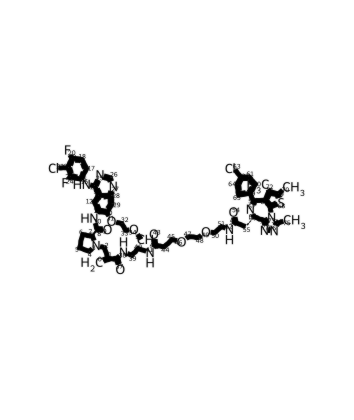 C=C(CN1CCC[C@H]1C(=O)Nc1cc2c(Nc3ccc(F)c(Cl)c3F)ncnc2cc1OCCOC)C(=O)NCCNC(=O)CCOCCOCCNC(=O)C[C@@H]1N=C(c2ccc(Cl)cc2)c2c(sc(C)c2C)-n2c(C)nnc21